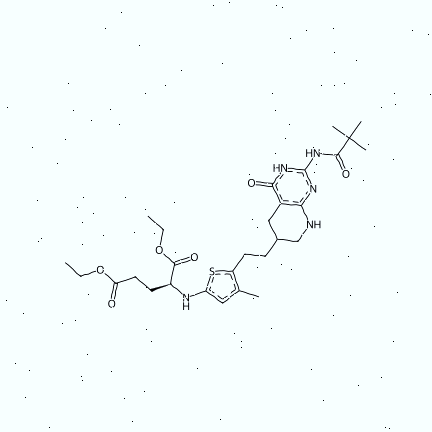 CCOC(=O)CC[C@H](Nc1cc(C)c(CCC2CNc3nc(NC(=O)C(C)(C)C)[nH]c(=O)c3C2)s1)C(=O)OCC